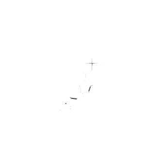 FC(F)(F)C=CN1C=CN(CCC(F)(F)F)C1